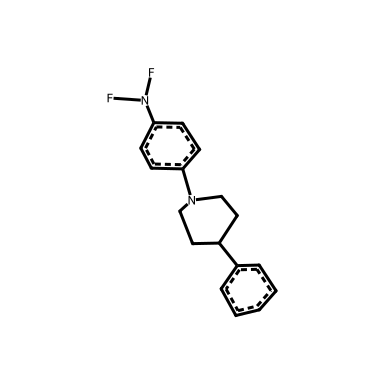 FN(F)c1ccc(N2CCC(c3ccccc3)CC2)cc1